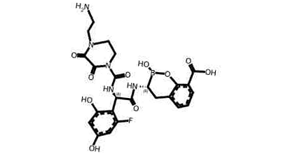 NCCN1CCN(C(=O)N[C@@H](C(=O)N[C@H]2Cc3cccc(C(=O)O)c3OB2O)c2c(O)cc(O)cc2F)C(=O)C1=O